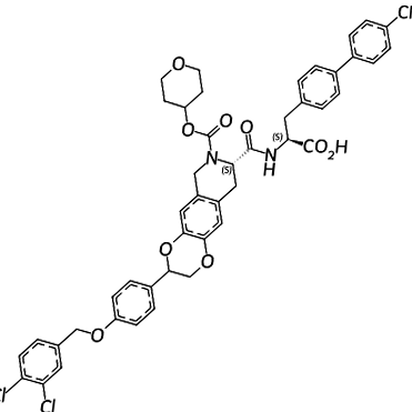 N#Cc1ccc(-c2ccc(C[C@H](NC(=O)[C@@H]3Cc4cc5c(cc4CN3C(=O)OC3CCOCC3)OC(c3ccc(OCc4ccc(Cl)c(Cl)c4)cc3)CO5)C(=O)O)cc2)cc1